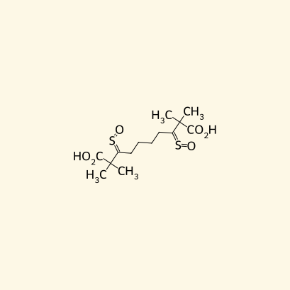 CC(C)(C(=O)O)C(CCCCC(=S=O)C(C)(C)C(=O)O)=S=O